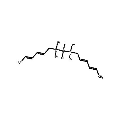 CC=CC=CC[PH](C(C)C)(C(C)C)[Ni]([Cl])([Cl])[PH](CC=CC=CC)(C(C)C)C(C)C